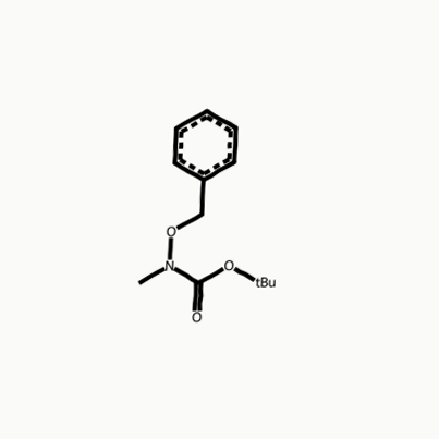 [CH]C(C)(C)OC(=O)N(C)OCc1ccccc1